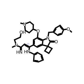 COc1ccc(CN2C(=O)C3(CCC3)c3cc(/C(=C/C(=N)N(C)CCO)Nc4ccccc4)cc(OC4CCN(C)CC4)c32)cc1